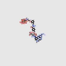 CN(CCCOc1cccc(/C=N/NC(=O)c2ccc(COC(=O)C(CCC(=O)O)NC(=O)c3ccc(N(C)Cc4cnc5nc(N)nc(N)c5n4)cc3)cc2)c1)CCC(O)(P(=O)(O)O)P(=O)(O)O